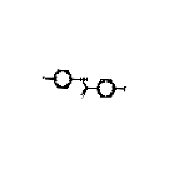 O=C(Nc1ccc(F)cc1)c1ccc(F)cc1